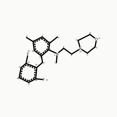 Cc1cc(C)c(N(C)CCN2CCOCC2)c(Cc2c(F)cccc2F)c1